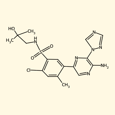 Cc1cc(Cl)c(S(=O)(=O)NCC(C)(C)O)cc1-c1cnc(N)c(-n2cncn2)n1